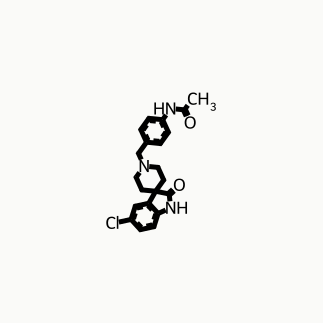 CC(=O)Nc1ccc(CN2CCC3(CC2)C(=O)Nc2ccc(Cl)cc23)cc1